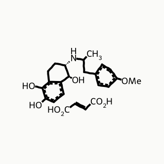 COc1ccc(CC(C)N[C@H]2CCc3c(ccc(O)c3O)[C@@H]2O)cc1.O=C(O)/C=C/C(=O)O